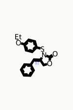 CCOc1ccc(SN2C(=O)OC/C2=C\c2ccccc2)cc1